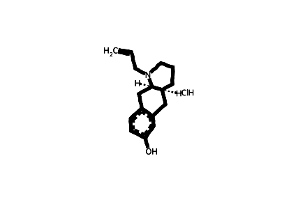 C=CCN1CCC[C@H]2Cc3cc(O)ccc3C[C@H]21.Cl